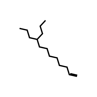 C=CCCCCCCC(CCC)CCC